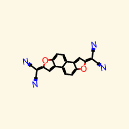 N#CC(C#N)=c1cc2c(ccc3c4cc(=C(C#N)C#N)oc4ccc23)o1